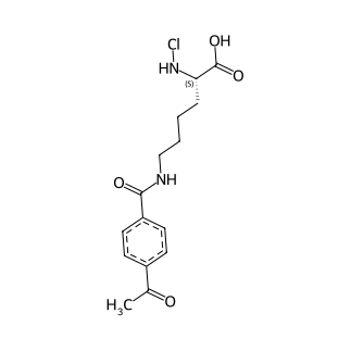 CC(=O)c1ccc(C(=O)NCCCC[C@H](NCl)C(=O)O)cc1